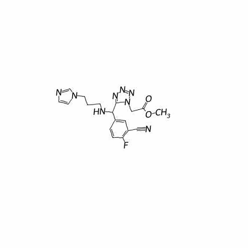 COC(=O)Cn1nnnc1C(NCCCn1ccnc1)c1ccc(F)c(C#N)c1